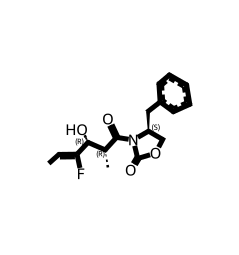 CC=C(F)[C@H](O)[C@@H](C)C(=O)N1C(=O)OC[C@@H]1Cc1ccccc1